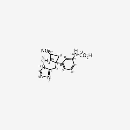 Cn1cnnc1C[C@]1(c2cccc(NC(=O)O)c2)C[C@H](C#N)C1